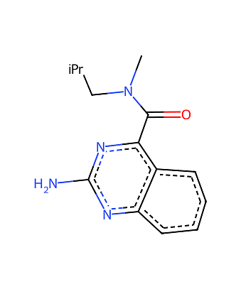 CC(C)CN(C)C(=O)c1nc(N)nc2ccccc12